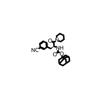 N#Cc1cccc(C[C@H](NC(=O)OC23CC4CC(CC(C4)C2)C3)C(=O)N2CCCCC2)c1